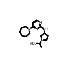 CCCCC(C)N1CCC(Nc2nccc(N3CCCCCC3)n2)C1